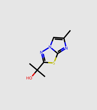 Cc1cn2nc(C(C)(C)O)sc2n1